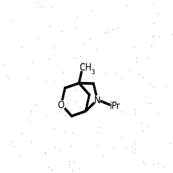 CC(C)N1CC2(C)COCC1C2